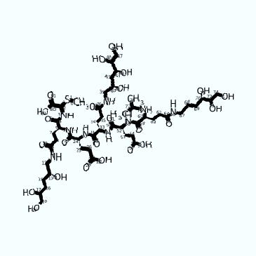 CSC(NC(=O)[C@H](CCC(=O)NC[C@H](O)CCC(O)CO)NC(=O)[C@@H](CCC(=O)O)NC(=O)[C@H](CCC(=O)NC[C@H](O)C[C@H](O)C(O)CO)NC(=O)[C@@H](CCC(=O)O)NC(=O)[C@H](CCC(=O)NCCC[C@H](O)C(O)CO)NC(C)C)C(=O)O